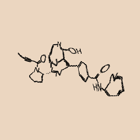 CC#CC(=O)N1CCC[C@H]1c1nc(-c2ccc(C(=O)Nc3ccccn3)cc2)c2c(O)nccn12